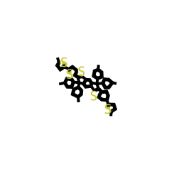 Cc1ccc(C2(c3ccc(C)cc3)c3cc4c(cc3-c3sc5cc(-c6ccc(C)s6)ccc5c32)C(c2ccc(C)cc2)(c2ccc(C)cc2)c2c-4sc3cc(-c4ccc(C)s4)sc23)cc1